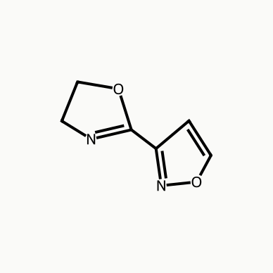 c1cc(C2=NCCO2)no1